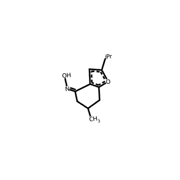 CC1C/C(=N/O)c2cc(C(C)C)oc2C1